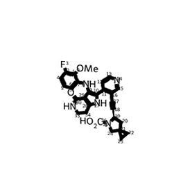 COc1c(F)cccc1Nc1c(-c2ccncc2C#C[C@H]2CC3(CC3)CN2C(=O)O)[nH]c2c1C(=O)NCC2